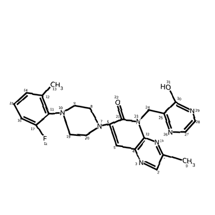 Cc1cnc2cc(N3CCN(c4c(C)cccc4F)CC3)c(=O)n(Cc3nccnc3O)c2n1